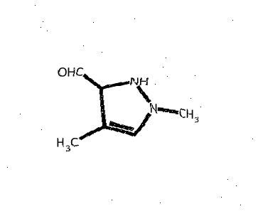 CC1=CN(C)NC1C=O